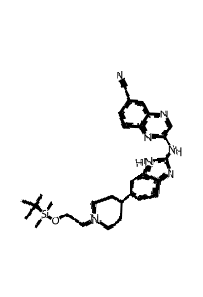 CC(C)(C)[Si](C)(C)OCCN1CCC(c2ccc3nc(Nc4cnc5cc(C#N)ccc5n4)[nH]c3c2)CC1